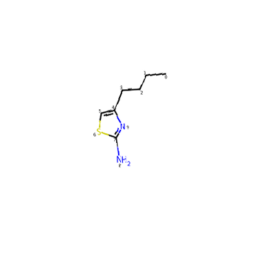 CCCCc1csc(N)n1